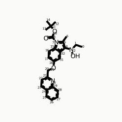 CCN(O)c1c(C)n(C(=O)OC(C)(C)C)c2ccc(OCc3ccc4ccccc4n3)cc12